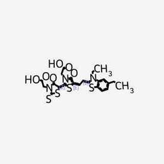 CCc1ccc2c(c1)N(CC)/C(=C/C=c1/s/c(=C3\SC(=S)N(CC(=O)O)C3=O)n(CC(=O)O)c1=O)S2